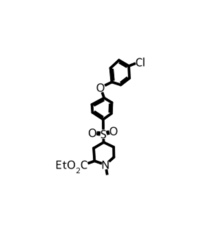 CCOC(=O)C1CC(S(=O)(=O)c2ccc(Oc3ccc(Cl)cc3)cc2)CCN1C